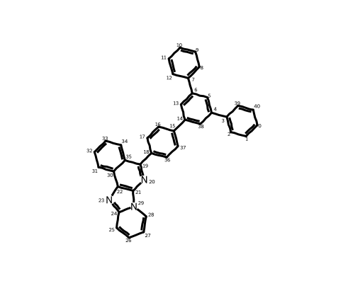 c1ccc(-c2cc(-c3ccccc3)cc(-c3ccc(-c4nc5c(nc6ccccn65)c5ccccc45)cc3)c2)cc1